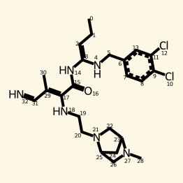 CC/C=C(\NCc1ccc(Cl)c(Cl)c1)NC(=O)/C(NCCN1CC2CC1CN2C)=C(\C)C=N